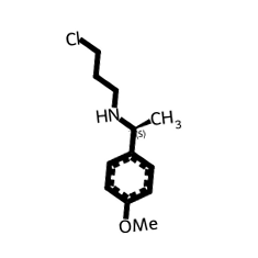 COc1ccc([C@H](C)NCCCCl)cc1